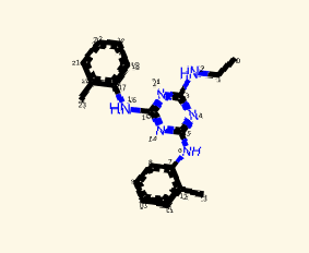 CCNc1nc(Nc2ccccc2C)nc(Nc2ccccc2C)n1